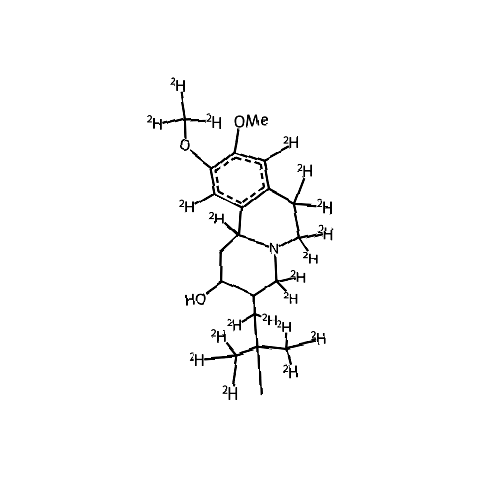 [2H]c1c(OC([2H])([2H])[2H])c(OC)c([2H])c2c1C1([2H])CC(O)C(C([2H])([2H])C(C)(C([2H])([2H])[2H])C([2H])([2H])[2H])C([2H])([2H])N1C([2H])([2H])C2([2H])[2H]